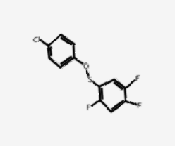 Fc1cc(F)c(SOc2ccc(Cl)cc2)cc1F